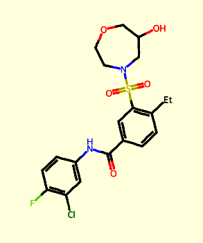 CCc1ccc(C(=O)Nc2ccc(F)c(Cl)c2)cc1S(=O)(=O)N1CCOCC(O)C1